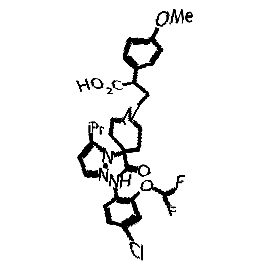 COc1ccc([C@@H](CN2CCC(C(=O)Nc3ccc(Cl)cc3OC(F)F)(n3nccc3C(C)C)CC2)C(=O)O)cc1